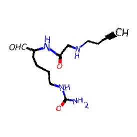 C#CCCNCC(=O)NC(C=O)CCCNC(N)=O